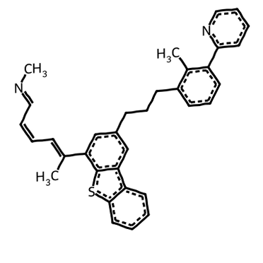 C/N=C/C=C\C=C(/C)c1cc(CCCc2cccc(-c3ccccn3)c2C)cc2c1sc1ccccc12